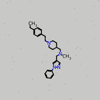 CCc1ccc(CCN2CCC(CN(C)Cc3cnn(-c4ccccc4)c3)CC2)cc1